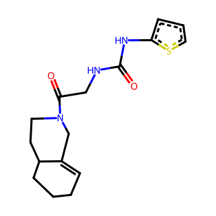 O=C(NCC(=O)N1CCC2CCCC=C2C1)Nc1cccs1